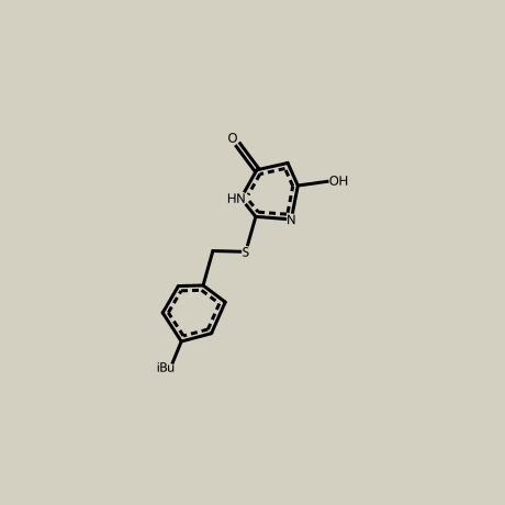 CCC(C)c1ccc(CSc2nc(O)cc(=O)[nH]2)cc1